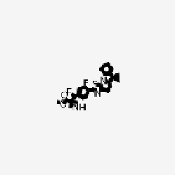 COC(=O)C1(C(F)c2ccc(-c3nc4ccc(C5(c6ccccc6)C=C5)nc4s3)c(F)c2)CNC1